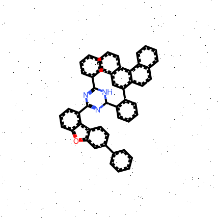 c1ccc(C2=NC(c3cccc4oc5cc(-c6ccccc6)ccc5c34)=NC(c3ccccc3-c3cc4ccccc4c4c3ccc3ccccc34)N2)cc1